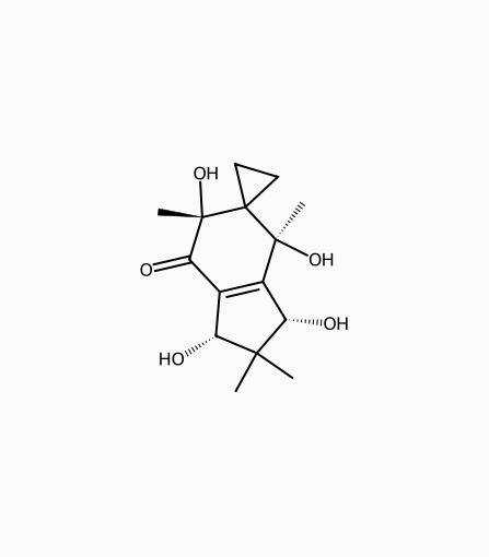 CC1(C)[C@H](O)C2=C([C@@H]1O)[C@](C)(O)C1(CC1)[C@@](C)(O)C2=O